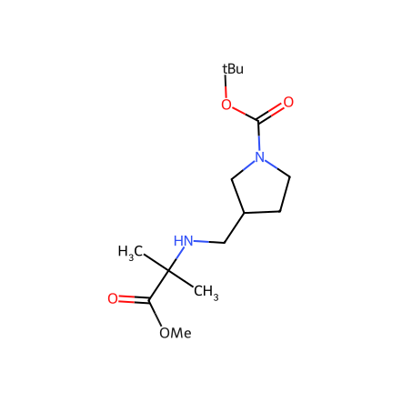 COC(=O)C(C)(C)NCC1CCN(C(=O)OC(C)(C)C)C1